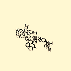 C[C@@H](Cl)[C@@H]1CN(C(=O)c2cc3cc(NC(=O)CN(C)C)ccc3[nH]2)c2cc(O[C@@H]3OC(CO)[C@H](O)C(O)C3O)c3ccccc3c21